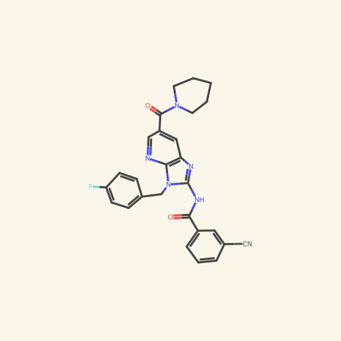 N#Cc1cccc(C(=O)Nc2nc3cc(C(=O)N4CCCCC4)cnc3n2Cc2ccc(F)cc2)c1